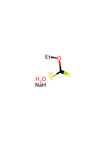 CCOC(=S)S.O.[NaH]